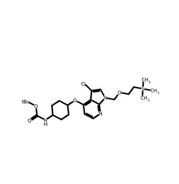 CC(C)(C)OC(=O)NC1CCC(Oc2ccnc3c2c(Cl)cn3COCC[Si](C)(C)C)CC1